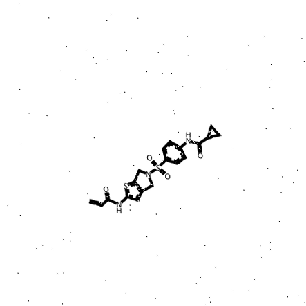 C=CC(=O)Nc1cc2c(s1)CN(S(=O)(=O)c1ccc(NC(=O)C3CC3)cc1)C2